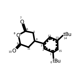 CC(C)(C)c1cc(C2CC(=O)OC(=O)C2)cc(C(C)(C)C)c1